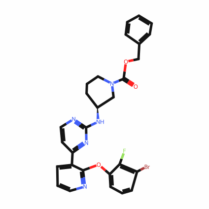 O=C(OCc1ccccc1)N1CCC[C@H](Nc2nccc(-c3cccnc3Oc3cccc(Br)c3F)n2)C1